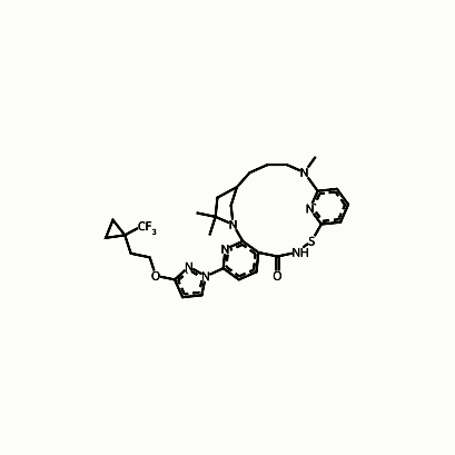 CN1CCCC2CN(c3nc(-n4ccc(OCCC5(C(F)(F)F)CC5)n4)ccc3C(=O)NSc3cccc1n3)C(C)(C)C2